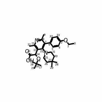 CCOc1ccc(-c2c(C)nc(C)c(C(OC(C)(C)C)C(=O)O)c2N2CCC(C)(C)CC2)cc1